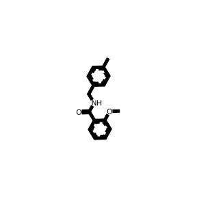 COc1ccccc1C(=O)NCc1ccc(C)cc1